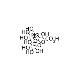 O=C(O)[C@H]1OC(OC2OC[C@@H](O)[C@H](O)[C@H]2O)[C@H](OC2O[C@H](CO)[C@H](O)[C@H](O)[C@H]2O)[C@@H](O)[C@@H]1O